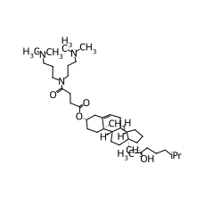 CC(C)CCCC(C)(O)[C@H]1CC[C@H]2[C@@H]3CC=C4C[C@@H](OC(=O)CCC(=O)N(CCCN(C)C)CCCN(C)C)CC[C@]4(C)[C@H]3CC[C@]12C